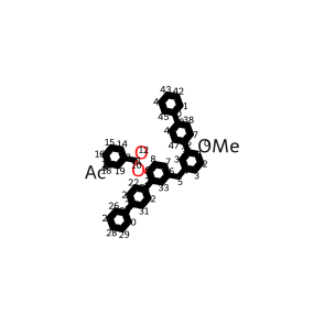 COc1ccc(Cc2ccc(OC(=O)c3cccc(C(C)=O)c3)c(-c3ccc(-c4ccccc4)cc3)c2)cc1-c1ccc(-c2ccccc2)cc1